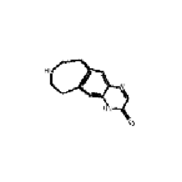 O=c1cnc2cc3c(cc2[nH]1)CCNCC3